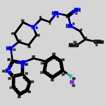 COC(CNC(=N)NCCN1CCC(Nc2nc3ccccc3n2Cc2ccc(F)cc2)CC1)OC.I